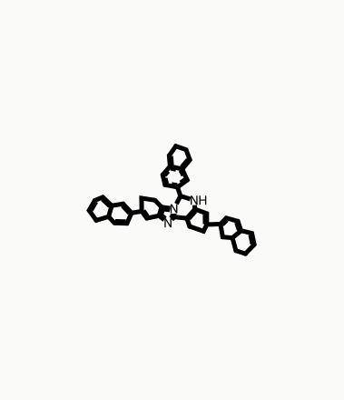 C1=CCC2C=CC(C3=Cc4nc5n(c4CC3)C(c3ccc4c(c3)=CCCC=4)NC3=C5CCC(C4=CC=C5C=CCCC5C4)=C3)=CC2=C1